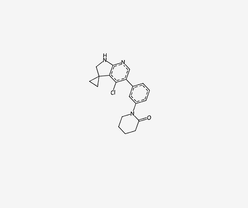 O=C1CCCCN1c1cccc(-c2cnc3c(c2Cl)C2(CC2)CN3)c1